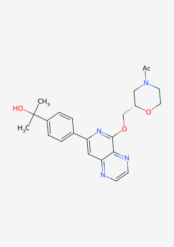 CC(=O)N1CCO[C@H](COc2nc(-c3ccc(C(C)(C)O)cc3)cc3nccnc23)C1